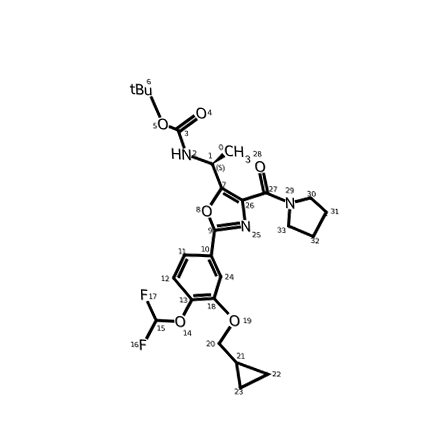 C[C@H](NC(=O)OC(C)(C)C)c1oc(-c2ccc(OC(F)F)c(OCC3CC3)c2)nc1C(=O)N1C[CH]CC1